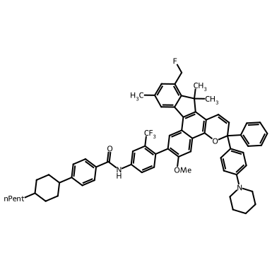 CCCCCC1CCC(c2ccc(C(=O)Nc3ccc(-c4cc5c6c(c7c(c5cc4OC)OC(c4ccccc4)(c4ccc(N5CCCCC5)cc4)C=C7)C(C)(C)c4c(CF)cc(C)cc4-6)c(C(F)(F)F)c3)cc2)CC1